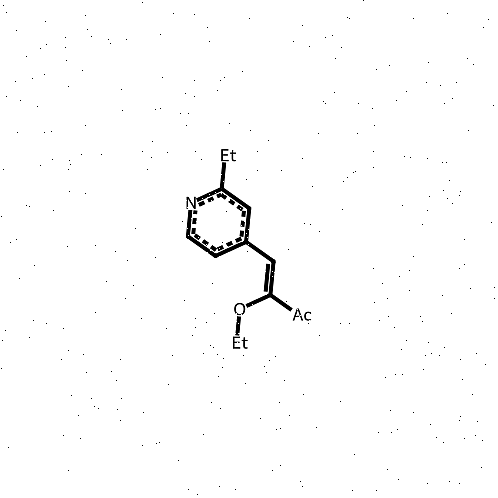 CCOC(=Cc1ccnc(CC)c1)C(C)=O